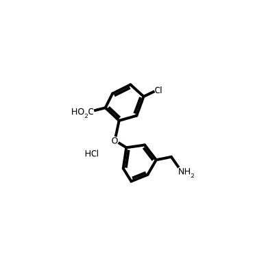 Cl.NCc1cccc(Oc2cc(Cl)ccc2C(=O)O)c1